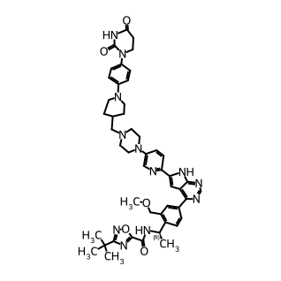 COCc1cc(-c2ncnc3[nH]c(-c4ccc(N5CCN(CC6CCN(c7ccc(N8CCC(=O)NC8=O)cc7)CC6)CC5)cn4)cc23)ccc1[C@@H](C)NC(=O)c1nc(C(C)(C)C)no1